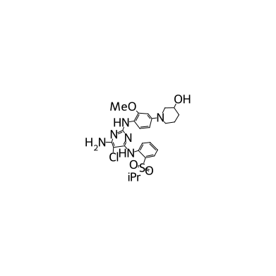 COc1cc(N2CCCC(O)C2)ccc1Nc1nc(N)c(Cl)c(Nc2ccccc2S(=O)(=O)C(C)C)n1